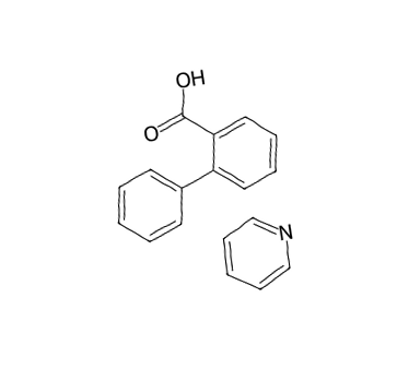 O=C(O)c1ccccc1-c1ccccc1.c1ccncc1